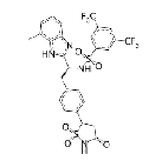 Cc1cccc2nc([C@H](Cc3ccc(C4CC(=O)NS4(=O)=O)cc3)NS(=O)(=O)c3cc(C(F)(F)F)cc(C(F)(F)F)c3)[nH]c12